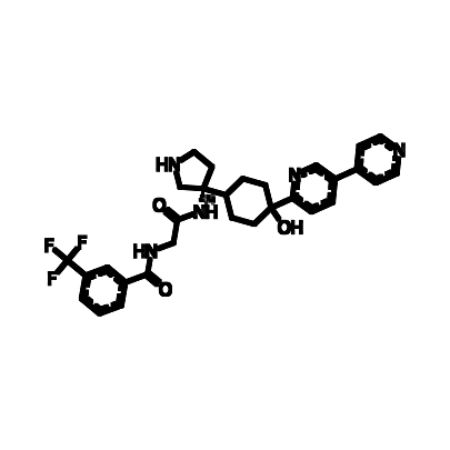 O=C(CNC(=O)c1cccc(C(F)(F)F)c1)N[C@@]1(C2CCC(O)(c3ccc(-c4ccncc4)cn3)CC2)CCNC1